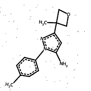 Cc1ccc(-n2nc(C3(C)COC3)cc2N)cc1